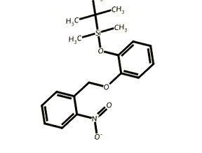 CC(C)(C)[Si](C)(C)Oc1ccccc1OCc1ccccc1[N+](=O)[O-]